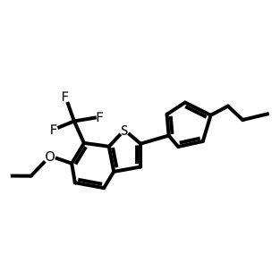 CCCc1ccc(-c2cc3ccc(OCC)c(C(F)(F)F)c3s2)cc1